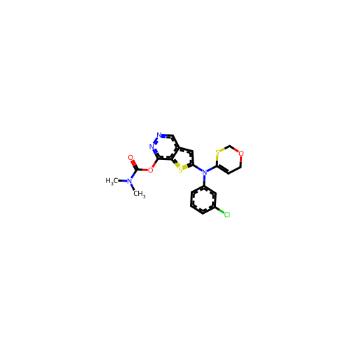 CN(C)C(=O)Oc1nncc2cc(N(C3=CCOCS3)c3cccc(Cl)c3)sc12